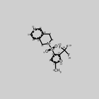 Cc1cc(S(=O)(=O)N2CCc3cnccc3C2)c(C(F)(F)F)o1